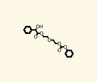 O=C(OCCOCCOC(=O)C(O)c1ccccc1)Oc1ccccc1